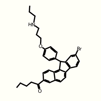 CCCCC(=O)c1ccc2c3c(ccc2c1)-c1ccc(Br)cc1C3c1ccc(OCCCNCCC)cc1